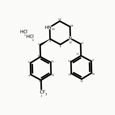 Cl.Cl.FC(F)(F)c1ccc(C[C@@H]2CN(Cc3ccccc3)CCN2)cc1